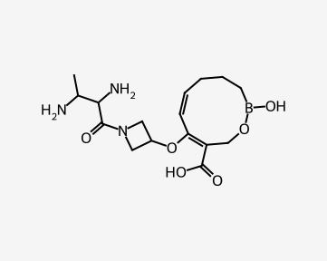 CC(N)C(N)C(=O)N1CC(OC2=C(\C(=O)O)COB(O)CCC/C=C\2)C1